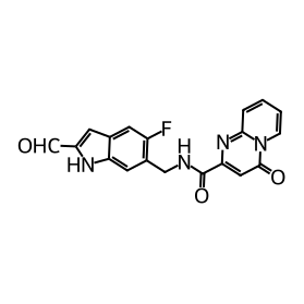 O=Cc1cc2cc(F)c(CNC(=O)c3cc(=O)n4ccccc4n3)cc2[nH]1